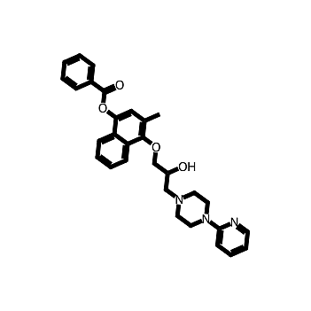 Cc1cc(OC(=O)c2ccccc2)c2ccccc2c1OCC(O)CN1CCN(c2ccccn2)CC1